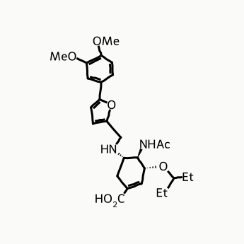 CCC(CC)O[C@@H]1C=C(C(=O)O)C[C@H](NCc2ccc(-c3ccc(OC)c(OC)c3)o2)[C@H]1NC(C)=O